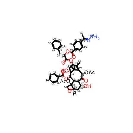 CC(=O)O[C@@H]1C(=O)[C@]2(C)C([C@@H](OC(=O)c3ccccc3)[C@@]3(O)C[C@@H](OC(=O)[C@H](Cc4ccccc4)OC(=O)c4ccc(/C(C)=N/N)cc4)C(C)=C1C3(C)C)[C@@]1(OC(C)=O)CO[C@H]1C[C@H]2O